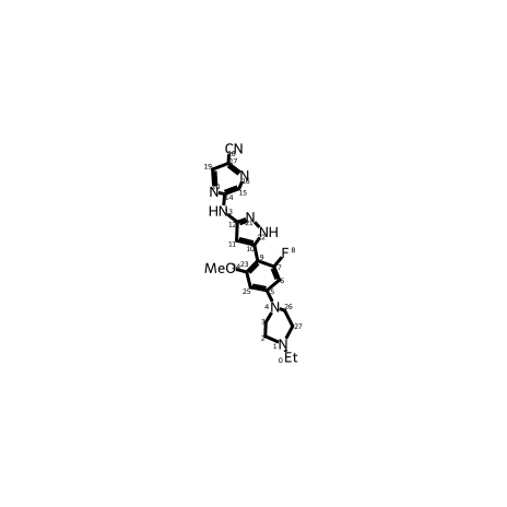 CCN1CCN(c2cc(F)c(-c3cc(Nc4cnc(C#N)cn4)n[nH]3)c(OC)c2)CC1